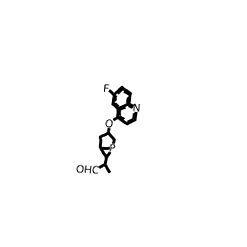 CC(C=O)C1C2CC(Oc3ccnc4ccc(F)cc34)CP21